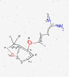 C=N/C(N)=C\C=C(/C)Oc1cccc2c1C(C)(C)CO2